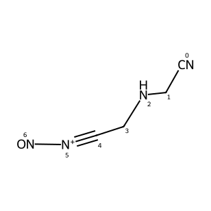 N#CCNCC#[N+]N=O